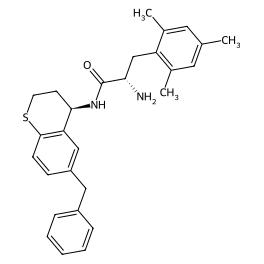 Cc1cc(C)c(C[C@H](N)C(=O)N[C@@H]2CCSc3ccc(Cc4ccccc4)cc32)c(C)c1